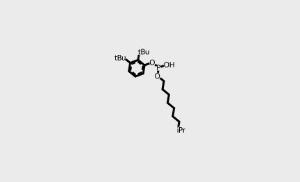 CC(C)CCCCCCCOP(O)Oc1cccc(C(C)(C)C)c1C(C)(C)C